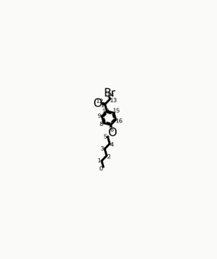 CCCCCCOc1ccc(C(=O)CBr)cc1